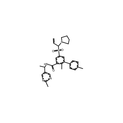 C=CC(N1CCCC1)S(=O)(=O)c1cc(C(=O)NC(C)c2cnc(C)nc2)c(C)c(-c2ccc(C)cc2)c1